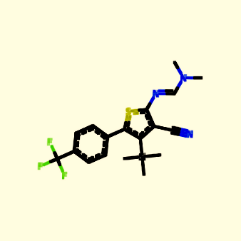 CN(C)C=Nc1sc(-c2ccc(C(F)(F)F)cc2)c([Si](C)(C)C)c1C#N